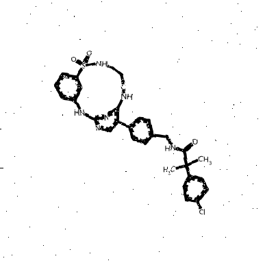 CC(C)(C(=O)NCc1ccc(-c2cnc3nc2NCCCNS(=O)(=O)c2cccc(c2)N3)cc1)c1ccc(Cl)cc1